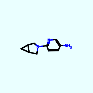 Nc1ccc(N2CC3CC3C2)nc1